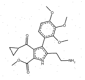 COC(=O)c1[nH]c(CCN)c(-c2ccc(OC)c(OC)c2OC)c1C(=O)C1CC1